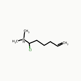 C=CCCCC(Cl)[SiH](C)C